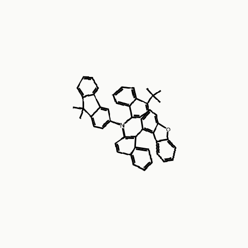 CC(C)(C)c1ccc(N(c2ccc3c(c2)-c2ccccc2C3(C)C)c2ccc3ccccc3c2-c2cccc3oc4ccccc4c23)c2ccccc12